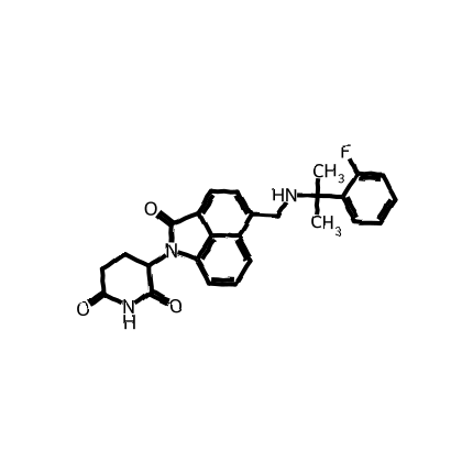 CC(C)(NCc1ccc2c3c(cccc13)N(C1CCC(=O)NC1=O)C2=O)c1ccccc1F